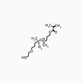 C=C(C)C(=O)OCCC[SiH](C)O[Si](C)(C)CCCOCCO